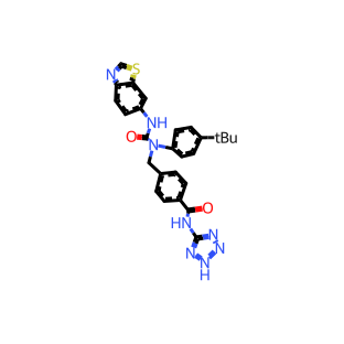 CC(C)(C)c1ccc(N(Cc2ccc(C(=O)Nc3nn[nH]n3)cc2)C(=O)Nc2ccc3ncsc3c2)cc1